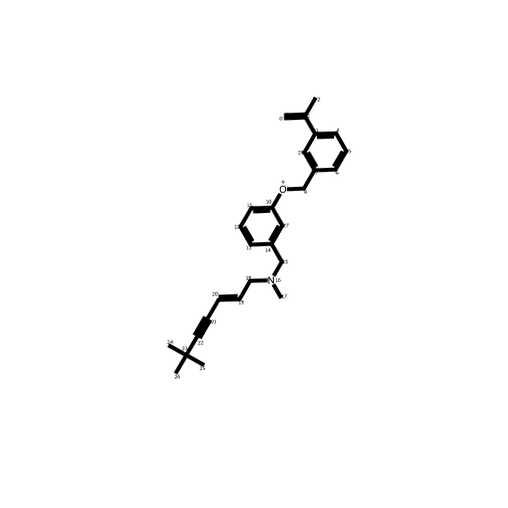 C=C(C)c1cccc(COc2cccc(CN(C)C/C=C/C#CC(C)(C)C)c2)c1